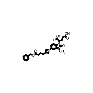 Cn1c(=O)n(C(CCC(=O)O)C(=O)O)c2ccc(N3CC(CCCC(=O)OCc4ccccc4)C3)cc21